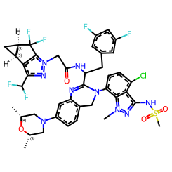 C[C@@H]1CN(c2ccc3c(c2)N=C(C(Cc2cc(F)cc(F)c2)NC(=O)Cn2nc(C(F)F)c4c2C(F)(F)[C@@H]2C[C@H]42)N(c2ccc(Cl)c4c(NS(C)(=O)=O)nn(C)c24)C3)C[C@H](C)O1